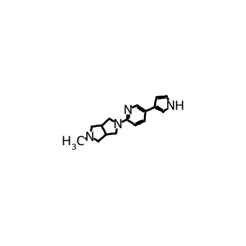 CN1CC2CN(c3ccc(-c4cc[nH]c4)cn3)CC2C1